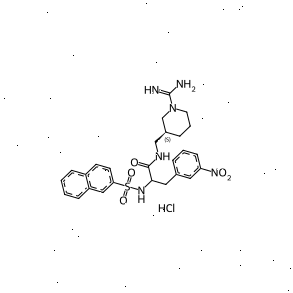 Cl.N=C(N)N1CCC[C@@H](CNC(=O)C(Cc2cccc([N+](=O)[O-])c2)NS(=O)(=O)c2ccc3ccccc3c2)C1